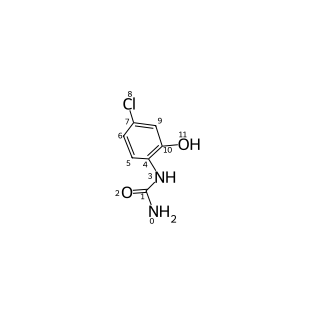 NC(=O)Nc1ccc(Cl)cc1O